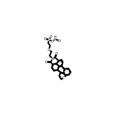 CCNOS(=O)(=O)CCOCCN1C(=O)c2ccc3c4cccc5cccc(c6ccc(c2c36)C1=O)c54